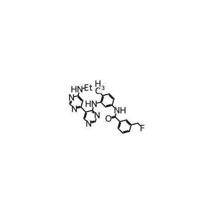 CCNc1cc(-c2cncnc2Nc2cc(NC(=O)c3cccc(CF)c3)ccc2C)ncn1